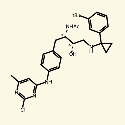 CC(=O)N[C@@H](Cc1ccc(Nc2cc(C)nc(Cl)n2)cc1)[C@@H](O)CNC1(c2cccc(C(C)(C)C)c2)CC1